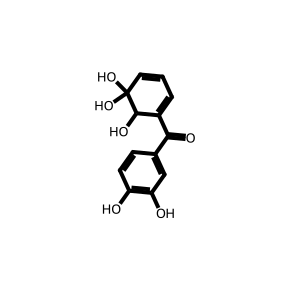 O=C(C1=CC=CC(O)(O)C1O)c1ccc(O)c(O)c1